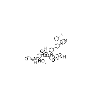 CN1CCN(c2ccc(-c3ccc(C(=O)NS(=O)(=O)c4ccc(NCC5(F)CCOCC5)c([N+](=O)[O-])c4)c(N4CCCOc5nc6[nH]ccc6cc54)c3)cc2)C(c2ccccc2C2CC2)C1